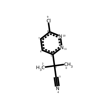 CC(C)(C#N)c1ccc(Cl)nn1